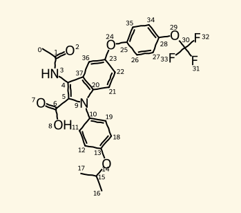 CC(=O)Nc1c(C(=O)O)n(-c2ccc(OC(C)C)cc2)c2ccc(Oc3ccc(OC(F)(F)F)cc3)cc12